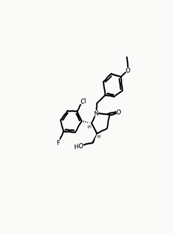 COc1ccc(CN2C(=O)C[C@@H](CO)[C@@H]2c2cc(F)ccc2Cl)cc1